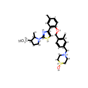 Cc1ccc(OCc2ccc(CN3CC[S+]([O-])CC3)cc2C)c(-c2csc(N3CCC(C(=O)O)C3C)n2)c1